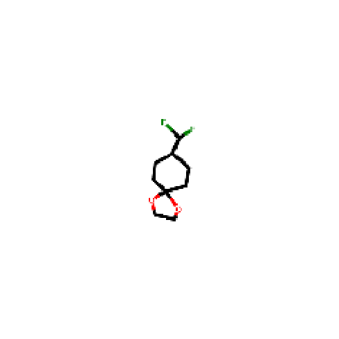 FC(F)C1CCC2(CC1)OCCO2